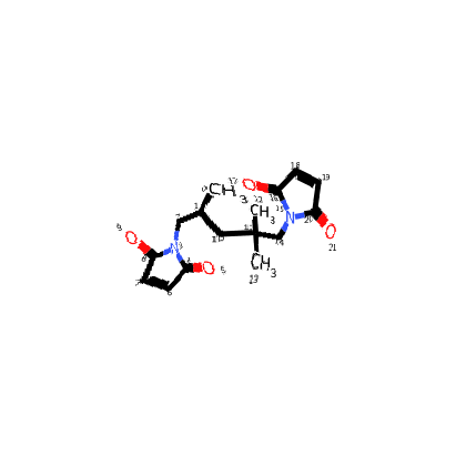 CC(CN1C(=O)C=CC1=O)CC(C)(C)CN1C(=O)C=CC1=O